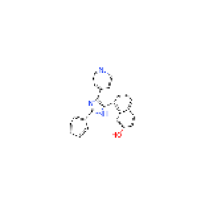 Oc1ccc2cccc(-c3[nH]c(-c4ccccc4)nc3-c3ccncc3)c2c1